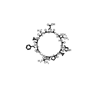 CC[C@@H]1NC(=O)[C@H](CCC(=O)O)NC(=O)CNC(=O)C(C(C)C)NC(=O)[C@H](Cc2c[nH]cn2)NC(=O)C(C2CC2)NC(=O)[C@H]2CCCN2C(=O)[C@@H](NC(C)(C)C)CCCNC(=O)[C@H](CCc2ccccc2)NC(=O)C(C2CC2)NC1=O